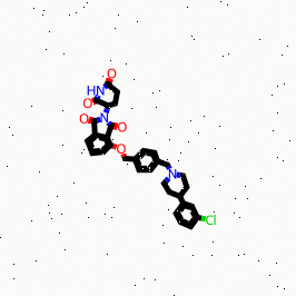 O=C1CCC(N2C(=O)c3cccc(OCc4ccc(CN5CCC(c6cccc(Cl)c6)CC5)cc4)c3C2=O)C(=O)N1